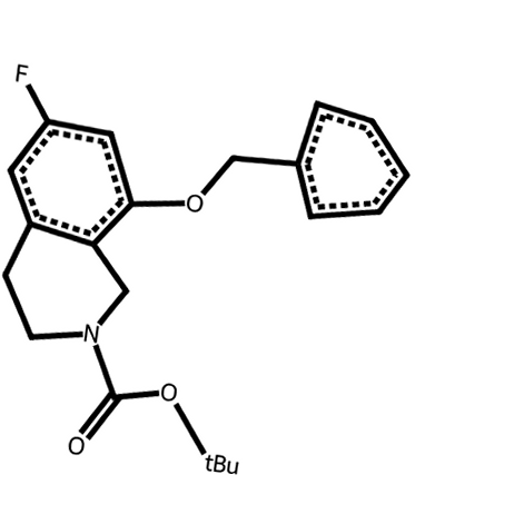 CC(C)(C)OC(=O)N1CCc2cc(F)cc(OCc3ccccc3)c2C1